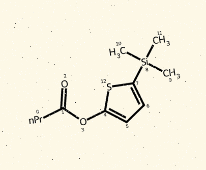 CCCC(=O)Oc1ccc([Si](C)(C)C)s1